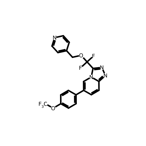 FC(F)(F)Oc1ccc(-c2ccc3nnc(C(F)(F)OCc4ccncc4)n3c2)cc1